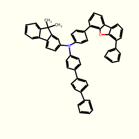 CC1(C)c2ccccc2-c2ccc(N(c3ccc(-c4ccc(-c5ccccc5)cc4)cc3)c3ccc(-c4cccc5c4oc4c(-c6ccccc6)cccc45)cc3)cc21